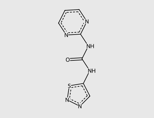 O=C(Nc1ncccn1)Nc1cnns1